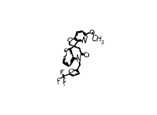 COc1ccc2c(n1)C1(CO2)CC(=O)N(Cc2ccc(C(F)(F)F)o2)c2ccsc21